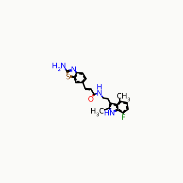 Cc1[nH]c2c(F)ccc(C)c2c1CCNC(=O)/C=C/c1ccc2nc(N)sc2c1